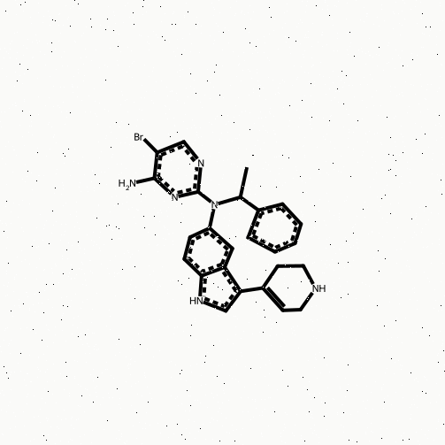 CC(c1ccccc1)N(c1ccc2[nH]cc(C3=CCNCC3)c2c1)c1ncc(Br)c(N)n1